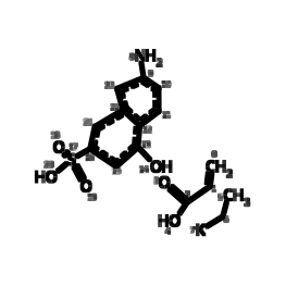 C=CC(=O)O.C[CH2][K].Nc1ccc2c(O)cc(S(=O)(=O)O)cc2c1